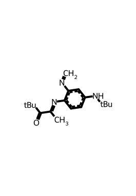 C=Nc1cc(NC(C)(C)C)ccc1/N=C(\C)C(=O)C(C)(C)C